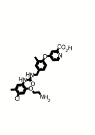 Cc1cc(NC(=O)NCc2ccc(Oc3ccnc(C(=O)O)c3)c(C)c2)c(OCCN)cc1Cl